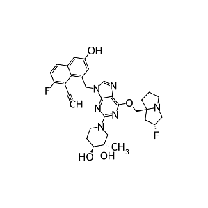 C#Cc1c(F)ccc2cc(O)cc(Cn3cnc4c(OC[C@@]56CCCN5C[C@H](F)C6)nc(N5CC[C@H](O)[C@](C)(O)C5)nc43)c12